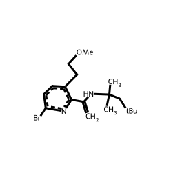 C=C(NC(C)(C)CC(C)(C)C)c1nc(Br)ccc1CCOC